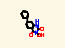 O=c1[nH]c2cc(-c3ccccc3)ccc2c(=O)n1O